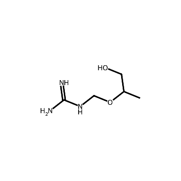 CC(CO)OCNC(=N)N